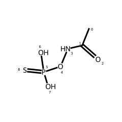 CC(=O)NOP(O)(O)=S